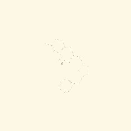 O=S1(=O)N=C(NC2CCN(Cc3ccccc3)C2)Nc2ccc(Cl)cc21